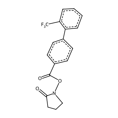 O=C(ON1CCCC1=O)c1ccc(-c2ccccc2C(F)(F)F)cc1